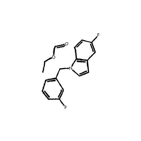 CCOC=O.Fc1cccc(Cn2ccc3cc(F)ccc32)c1